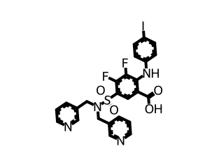 O=C(O)c1cc(S(=O)(=O)N(Cc2cccnc2)Cc2cccnc2)c(F)c(F)c1Nc1ccc(I)cc1